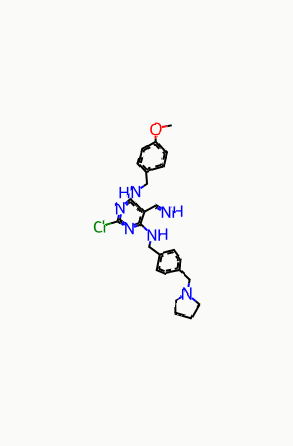 COc1ccc(CNc2nc(Cl)nc(NCc3ccc(CN4CCCC4)cc3)c2C=N)cc1